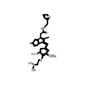 COc1cc(/C=C2/C(C)=C(CC(=O)NCc3ccco3)c3cc(F)ccc32)cc(OC)c1OCCB(O)O